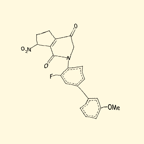 COc1cccc(-c2ccc(N3CC(=O)C4=C(C3=O)C([N+](=O)[O-])CC4)c(F)c2)c1